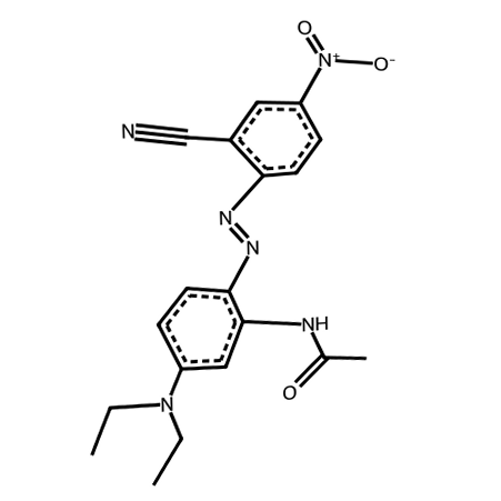 CCN(CC)c1ccc(/N=N/c2ccc([N+](=O)[O-])cc2C#N)c(NC(C)=O)c1